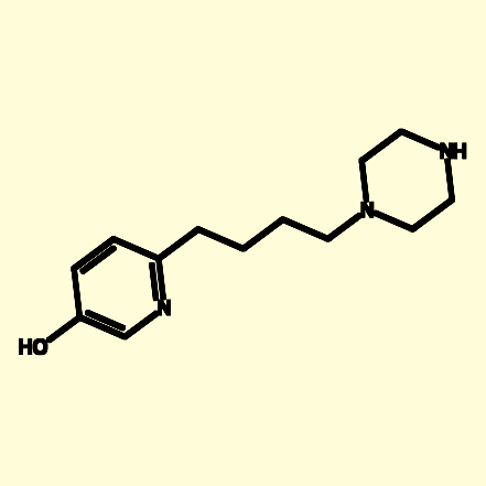 Oc1ccc(CCCCN2CCNCC2)nc1